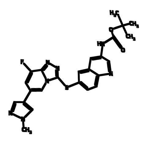 Cn1cc(-c2cc(F)c3nnc(Sc4ccc5ncc(NC(=O)OC(C)(C)C)cc5c4)n3c2)cn1